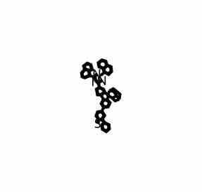 c1ccc2c(-c3nc(-c4ccc5c(c4)C4(c6ccc(-c7ccc8sc9ccccc9c8c7)cc6-5)C5CC6CC(C5)CC4C6)nc(-c4cccc5ccccc45)n3)cccc2c1